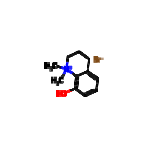 C[N+]1(C)CCCc2cccc(O)c21.[Br-]